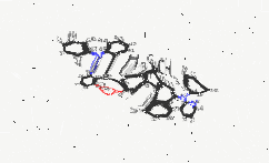 CC1(C)c2cc3c(cc2-c2c1cc(N(c1ccccc1)c1ccccn1)c1ccccc21)Oc1cccc2c1B3c1ccccc1N2c1ccccc1